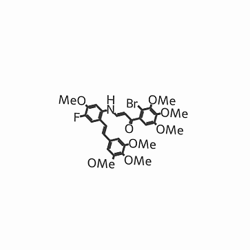 COc1cc(NC=CC(=O)c2cc(OC)c(OC)c(OC)c2Br)c(C=Cc2cc(OC)c(OC)c(OC)c2)cc1F